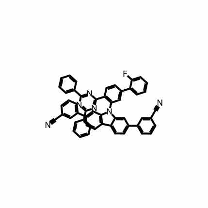 N#Cc1cccc(-c2ccc3c4ccc(-c5cccc(C#N)c5)cc4n(-c4cc(-c5ccccc5F)ccc4-c4nc(-c5ccccc5)nc(-c5ccccc5)n4)c3c2)c1